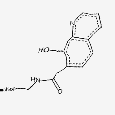 CCCCCCCCCCNC(=O)c1ccc2cccnc2c1O